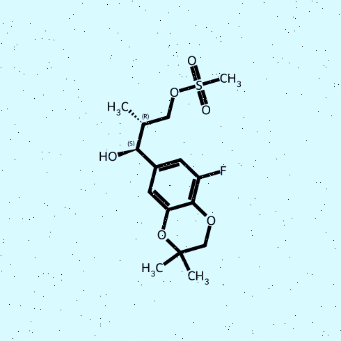 C[C@H](COS(C)(=O)=O)[C@H](O)c1cc(F)c2c(c1)OC(C)(C)CO2